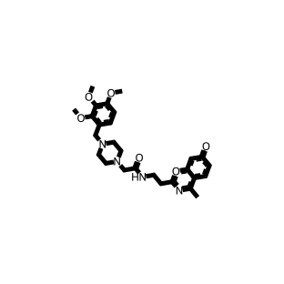 COc1ccc(CN2CCN(CC(=O)NCCc3nc(C)c4ccc(=O)cc-4o3)CC2)c(OC)c1OC